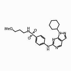 COCCCNS(=O)(=O)c1ccc(Nc2ncc3cnn(C4CCCCC4)c3n2)cc1